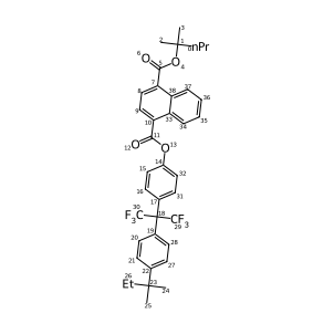 CCCC(C)(C)OC(=O)c1ccc(C(=O)Oc2ccc(C(c3ccc(C(C)(C)CC)cc3)(C(F)(F)F)C(F)(F)F)cc2)c2ccccc12